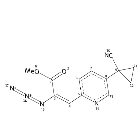 COC(=O)/C(=C\c1ccc(C2(C#N)CC2)cn1)N=[N+]=[N-]